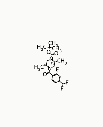 C[C@@H]1CN(C(=O)OC(C)(C)C)[C@@H](C)CN1C(=O)c1ccc(C(F)F)cc1F